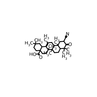 CC1=C2C3CC(C)(C)CCC3(C(=O)O)CCC2(C)C2(C)CCC3C(C)(C)C(=O)C(C#N)CC3(C)C2C1